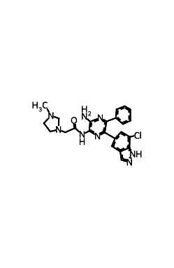 CN1CCN(CC(=O)Nc2nc(-c3cc(Cl)c4[nH]ncc4c3)c(-c3ccccc3)nc2N)C1